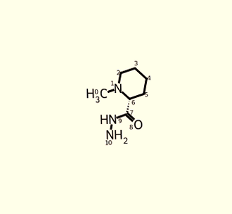 CN1CCCC[C@@H]1C(=O)NN